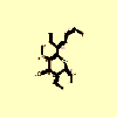 C=C/C(=C\C=C/C)c1oc(=C/C)/c(=C\C)c(=O)c1OC